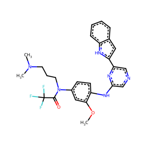 COc1cc(N(CCCN(C)C)C(=O)C(F)(F)F)ccc1Nc1cncc(-c2cc3ccccc3[nH]2)n1